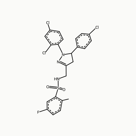 Cc1ccc(F)cc1S(=O)(=O)NCC1=NN(c2ccc(Cl)cc2Cl)C(c2ccc(Cl)cc2)C1